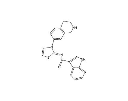 O=C(/N=c1\sccn1-c1ccc2c(c1)CNCC2)c1c[nH]c2ncccc12